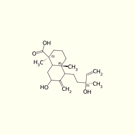 C=C[C@@](C)(O)CCC1C(=C)C(O)CC2[C@]1(C)CCC[C@]2(C)C(=O)O